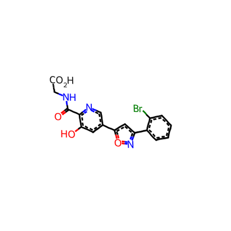 O=C(O)CNC(=O)c1ncc(-c2cc(-c3ccccc3Br)no2)cc1O